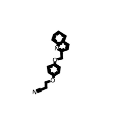 N#CCCOc1ccc(OCc2ccc3ccccc3n2)cc1